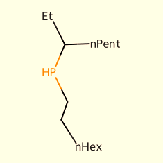 CCCCCCCCPC(CC)CCCCC